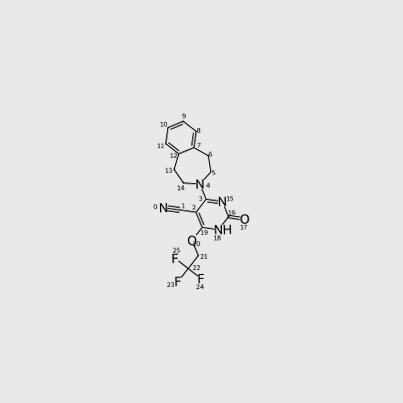 N#Cc1c(N2CCc3ccccc3CC2)nc(=O)[nH]c1OCC(F)(F)F